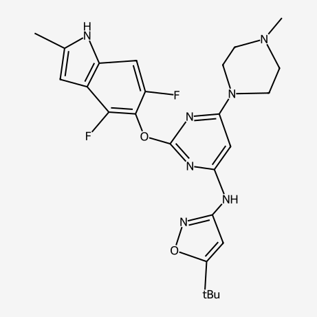 Cc1cc2c(F)c(Oc3nc(Nc4cc(C(C)(C)C)on4)cc(N4CCN(C)CC4)n3)c(F)cc2[nH]1